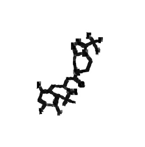 CC(C)(C)NC(CC(=O)N1CCn2c(nnc2C(F)(F)F)C1)Cc1cc(F)c(F)cc1F